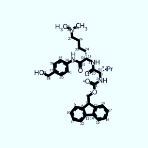 CC(C)[C@H](NC(=O)OCC1c2ccccc2-c2ccccc21)C(=O)N[C@@H](CCCCN(C)C)C(=O)Nc1ccc(CO)cc1